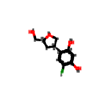 OC[C@H]1C[C@@H](c2cc(F)c(O)cc2O)CO1